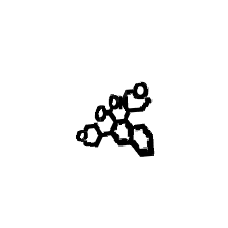 O=C(O)c1c(C2CCOCC2)cc2ccccc2c1C1CCOCC1